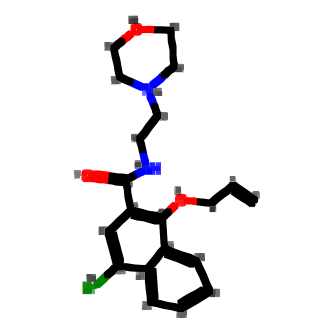 C=CCOc1c(C(=O)NCCN2CCOCC2)cc(Br)c2ccccc12